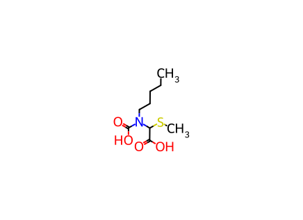 CCCCCN(C(=O)O)C(SC)C(=O)O